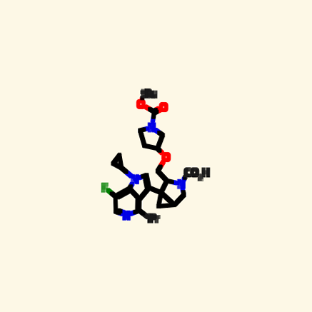 CC(C)c1ncc(F)c2c1c(C13CC1CN(C(=O)O)C3COC1CCN(C(=O)OC(C)(C)C)C1)cn2C1CC1